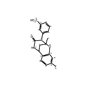 CC12CC(NC(=O)N1c1cccc(C(=O)O)c1)c1ccc(F)cc1O2